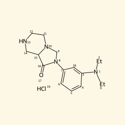 CCN(CC)c1cccc(N2CN3CCNCC3C2=O)c1.Cl